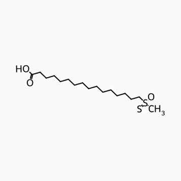 CS(=O)(=S)CCCCCCCCCCCCCCCC(=O)O